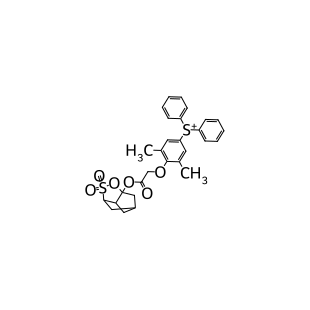 Cc1cc([S+](c2ccccc2)c2ccccc2)cc(C)c1OCC(=O)OC12CC3CC1C(C3)S(=O)(=O)O2